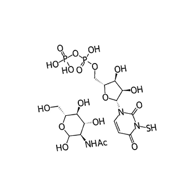 CC(=O)N[C@H]1C(O)O[C@H](CO)[C@@H](O)[C@@H]1O.O=c1ccn([C@@H]2O[C@H](COP(=O)(O)OP(=O)(O)O)[C@@H](O)[C@H]2O)c(=O)n1S